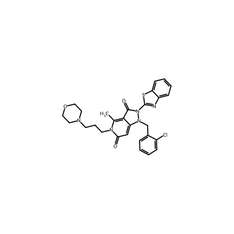 Cc1c2c(=O)n(-c3nc4ccccc4s3)n(Cc3ccccc3Cl)c2cc(=O)n1CCCN1CCOCC1